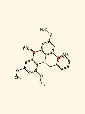 COc1cc(OC)c(P(Cc2ccccc2)c2c(OC)cc(OC)cc2OC)c(OC)c1